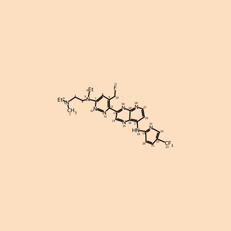 CCN(C)CCN(CC)c1cc(CF)c(-c2cnc3c(Nc4ccc(C(F)(F)F)cn4)ccnc3n2)nn1